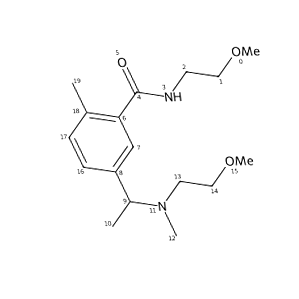 COCCNC(=O)c1cc(C(C)N(C)CCOC)ccc1C